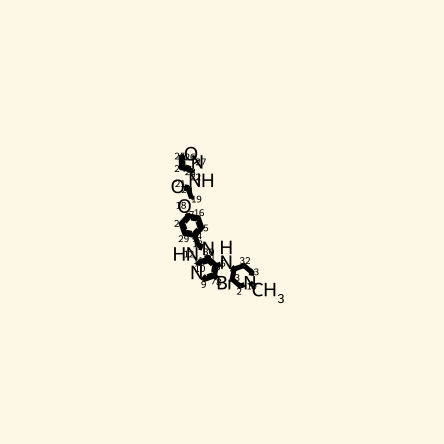 CN1CCC(Nc2c(Br)cnc3[nH]c(-c4ccc(OCC(=O)Nc5ccon5)cc4)nc23)CC1